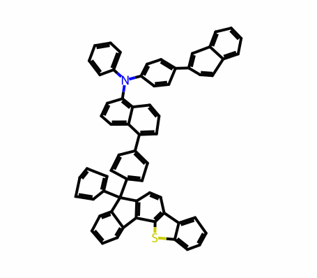 c1ccc(N(c2ccc(-c3ccc4ccccc4c3)cc2)c2cccc3c(-c4ccc(C5(c6ccccc6)c6ccccc6-c6c5ccc5c6sc6ccccc65)cc4)cccc23)cc1